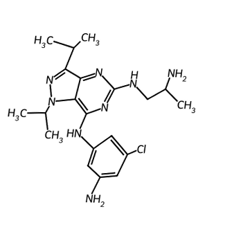 CC(N)CNc1nc(Nc2cc(N)cc(Cl)c2)c2c(n1)c(C(C)C)nn2C(C)C